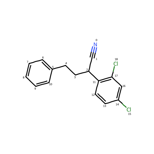 N#CC(CCc1ccccc1)c1ccc(Cl)cc1Cl